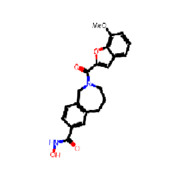 COc1cccc2cc(C(=O)N3CCCc4cc(C(=O)NO)ccc4C3)oc12